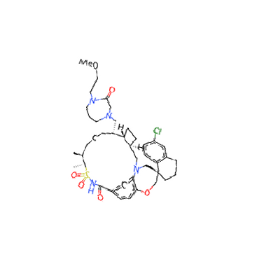 COCCN1CCCN(C[C@H]2CCC[C@H](C)[C@@H](C)S(=O)(=O)NC(=O)c3ccc4c(c3)N(C[C@@H]3CC[C@@H]23)C[C@@]2(CCCc3cc(Cl)ccc32)CO4)CC1=O